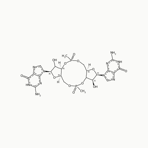 CP1(=O)OC[C@H]2O[C@@H](n3cnc4c(=O)[nH]c(N)nc43)C(O)[C@H]2OP(C)(=O)OC[C@H]2O[C@@H](n3cnc4c(=O)[nH]c(N)nc43)[C@@H](O)C2O1